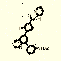 CC(=O)Nc1cccc(-c2cc(-c3ccc(C(=O)Nc4ccccn4)cc3F)cc3cncnc23)c1